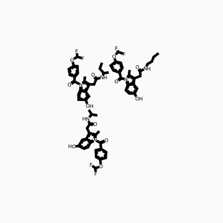 CCC(C)NC(=O)Cc1c(C)n(C(=O)c2ccc(OC(F)F)cc2)c2ccc(O)cc12.CCCCNC(=O)Cc1c(C)n(C(=O)c2ccc(OC(F)F)cc2)c2ccc(O)cc12.Cc1c(CC(=O)NC(C)C)c2cc(O)ccc2n1C(=O)c1ccc(OC(F)F)cc1